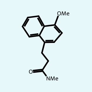 CNC(=O)CCc1ccc(OC)c2ccccc12